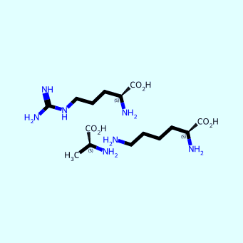 C[C@H](N)C(=O)O.N=C(N)NCCC[C@H](N)C(=O)O.NCCCC[C@H](N)C(=O)O